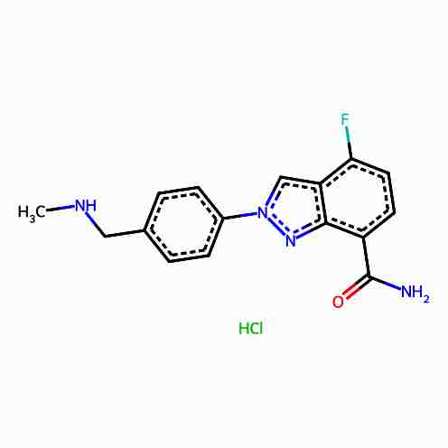 CNCc1ccc(-n2cc3c(F)ccc(C(N)=O)c3n2)cc1.Cl